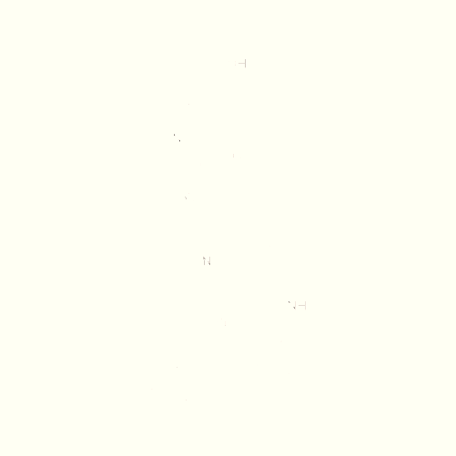 CC(C)(CO)NC(=O)Oc1ccc(NC2CC2)c(OCC2CC2)n1